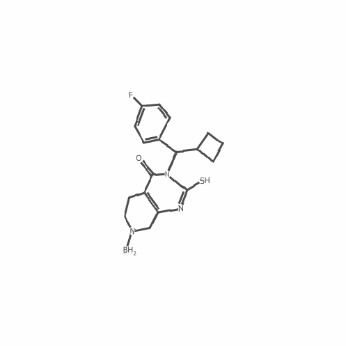 BN1CCc2c(nc(S)n(C(c3ccc(F)cc3)C3CCC3)c2=O)C1